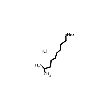 CCCCCCCCCCCCCC(C)N.Cl